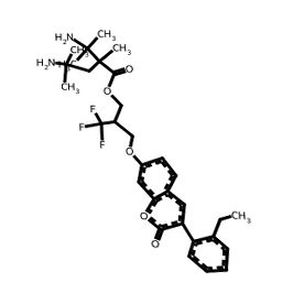 CCc1ccccc1-c1cc2ccc(OCC(COC(=O)C(C)(CC(C)(C)N)C(C)(C)N)C(F)(F)F)cc2oc1=O